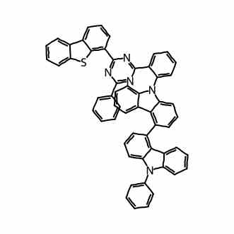 c1ccc(-c2nc(-c3ccccc3-n3c4ccccc4c4c(-c5cccc6c5c5ccccc5n6-c5ccccc5)cccc43)nc(-c3cccc4c3sc3ccccc34)n2)cc1